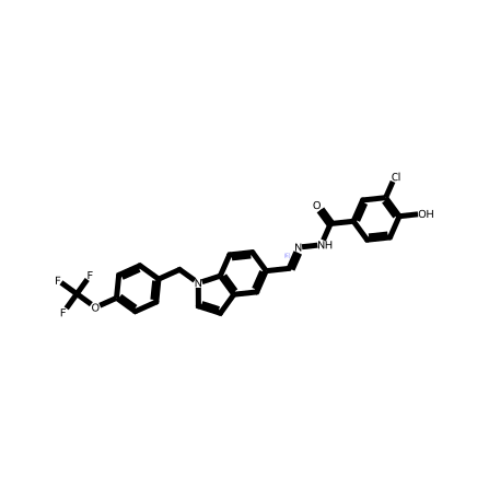 O=C(N/N=C/c1ccc2c(ccn2Cc2ccc(OC(F)(F)F)cc2)c1)c1ccc(O)c(Cl)c1